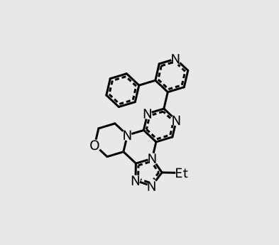 CCc1nnc2n1-c1cnc(-c3ccncc3-c3ccccc3)nc1N1CCOCC21